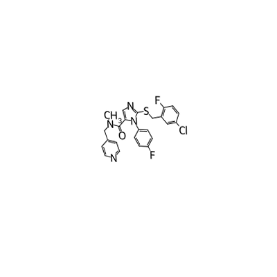 CN(Cc1ccncc1)C(=O)c1cnc(SCc2cc(Cl)ccc2F)n1-c1ccc(F)cc1